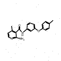 Cc1ccc(Oc2cccc(NC(=O)c3c(C)ccnc3N)c2)cc1